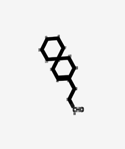 O=CCCC1=CCC2(CCCCC2)CC1